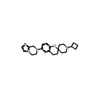 c1cn2c(n1)CN(c1ccc3c(c1)CCC1(CCN(C4CCC4)CC1)O3)CC2